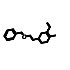 CCC1=C(C)CCC(CCOCc2ccccc2)C1